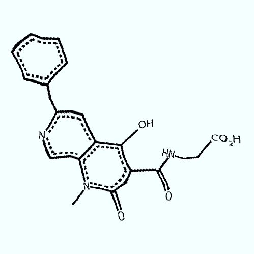 Cn1c(=O)c(C(=O)NCC(=O)O)c(O)c2cc(-c3ccccc3)ncc21